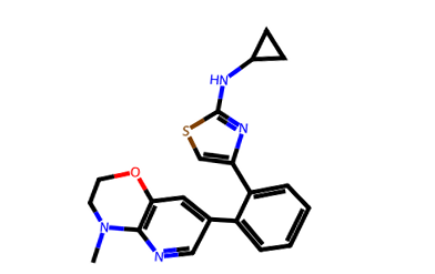 CN1CCOc2cc(-c3ccccc3-c3csc(NC4CC4)n3)cnc21